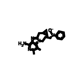 Cc1nc(N)c2nc(CC3CC3)n(CCC[S+]([O-])c3ccccc3)c2c1C